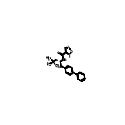 CCOC(=O)[C@](C)(O)C[C@@H](Cc1ccc(-c2ccccc2)cc1)NC(=O)c1cnn[nH]1